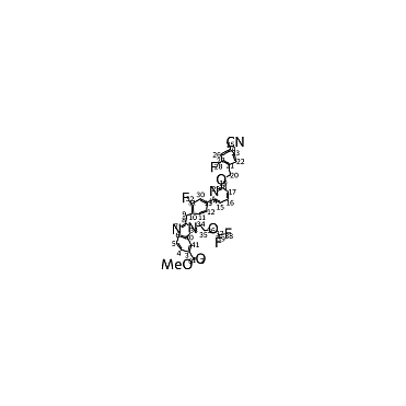 COC(=O)c1ccc2nc(Cc3ccc(-c4cccc(OCc5ccc(C#N)cc5F)n4)cc3F)n(CCOC(F)F)c2c1